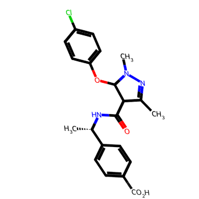 CC1=NN(C)C(Oc2ccc(Cl)cc2)C1C(=O)N[C@@H](C)c1ccc(C(=O)O)cc1